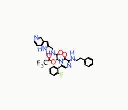 O=C(NCc1cc2cnccc2[nH]1)C(OC(=O)C(F)(F)F)n1c(-c2ccccc2F)cnc(NCCc2ccccc2)c1=O